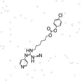 N#CNC(=Nc1ccncc1)NCCCCCCOC(=O)Oc1ccc(Cl)cc1